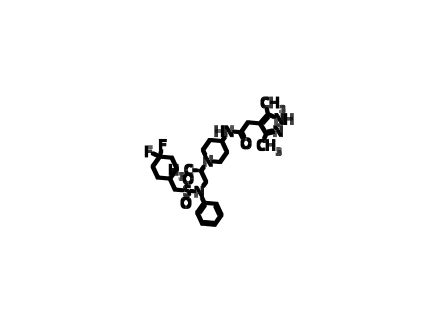 Cc1n[nH]c(C)c1CC(=O)NC1CCN([C@H](C)CN(c2ccccc2)S(=O)(=O)CC2CCC(F)(F)CC2)CC1